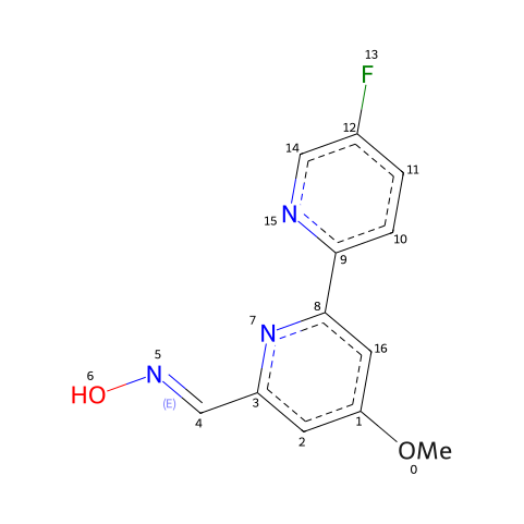 COc1cc(/C=N/O)nc(-c2ccc(F)cn2)c1